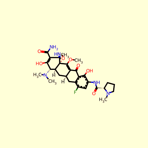 COC1=C2C(=O)c3c(O)c(NC(=O)[C@@H]4CCCN4C)cc(F)c3C[C@H]2C[C@H]2[C@H](N(C)C)C(O)=C(C(N)=O)C(=N)[C@@]12OC